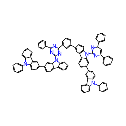 c1ccc(-c2cc(-c3ccccc3)nc(-n3c4ccc(-c5cccc(-c6nc(-c7ccccc7)nc(-n7c8ccccc8c8ccc(-c9ccc%10c(c9)c9ccccc9n%10-c9ccccc9)cc87)n6)c5)cc4c4ccc(-c5ccc6c(c5)c5ccccc5n6-c5ccccc5)cc43)n2)cc1